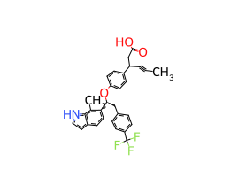 CC#CC(CC(=O)O)c1ccc(O[C@@H](Cc2ccc(C(F)(F)F)cc2)c2ccc3cc[nH]c3c2C)cc1